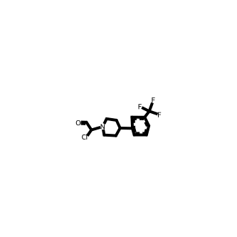 O=CC(Cl)N1CCC(c2cccc(C(F)(F)F)c2)CC1